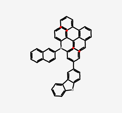 c1ccc(-c2cccc3cccc(-c4ccccc4N(c4cccc(-c5ccc6oc7ccccc7c6c5)c4)c4ccc5ccccc5c4)c23)cc1